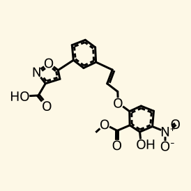 COC(=O)c1c(OC/C=C/c2cccc(-c3cc(C(=O)O)no3)c2)ccc([N+](=O)[O-])c1O